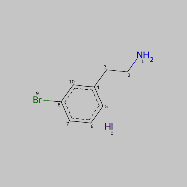 I.NCCc1cccc(Br)c1